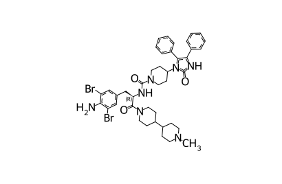 CN1CCC(C2CCN(C(=O)[C@@H](Cc3cc(Br)c(N)c(Br)c3)NC(=O)N3CCC(n4c(-c5ccccc5)c(-c5ccccc5)[nH]c4=O)CC3)CC2)CC1